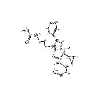 COC(=O)NCCCc1cc([C@@H](C)N(C(=O)[C@H]2CNCCO2)C2CC2)nn1-c1ccccc1